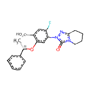 C[C@H](Oc1cc(-n2nc3n(c2=O)CCCC3)c(F)cc1C(=O)O)c1ccccc1